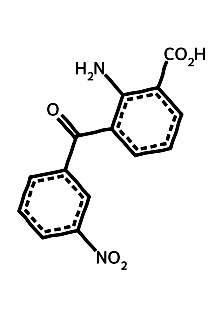 Nc1c(C(=O)O)cccc1C(=O)c1cccc([N+](=O)[O-])c1